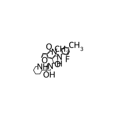 Cc1ccc(Nc2c(C(=O)N3CC(O)(C4CCCCN4)C3)c3occc3c(=O)n2C)c(F)c1